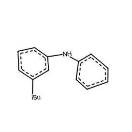 CCC(C)c1cccc(Nc2ccccc2)c1